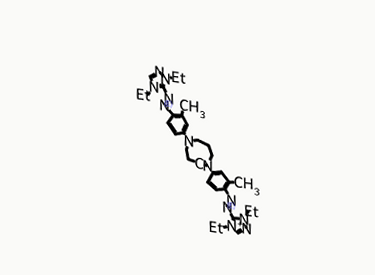 CCn1nc[n+](CC)c1/N=N/c1ccc(N2CCCN(c3ccc(/N=N/c4n(CC)nc[n+]4CC)c(C)c3)CCC2)cc1C